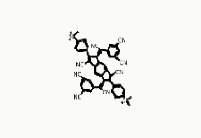 C[Si](C)(C)c1ccc(C2=C(C#N)c3cc4c(cc3/C2=C(/C#N)c2cc(C#N)cc(C#N)c2)C(C#N)=C(c2ccc([Si](C)(C)C)cc2)/C4=C(\C#N)c2cc(C#N)cc(C#N)c2)cc1